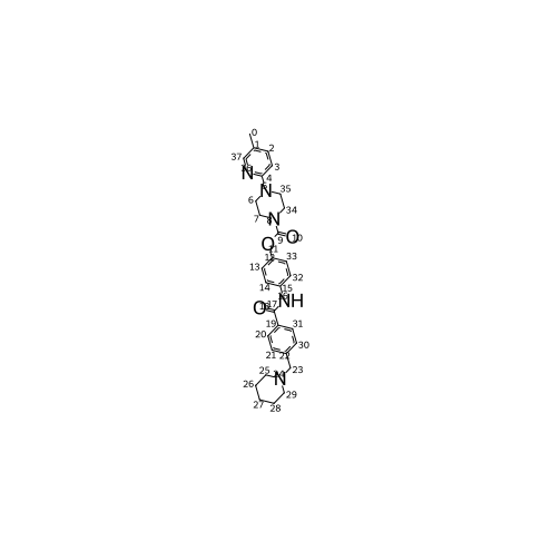 Cc1ccc(N2CCN(C(=O)Oc3ccc(NC(=O)c4ccc(CN5CCCCC5)cc4)cc3)CC2)nc1